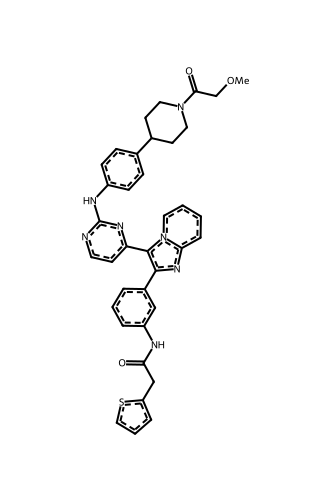 COCC(=O)N1CCC(c2ccc(Nc3nccc(-c4c(-c5cccc(NC(=O)Cc6cccs6)c5)nc5ccccn45)n3)cc2)CC1